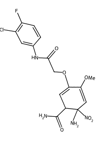 COC1=CC(N)([N+](=O)[O-])C(C(N)=O)C=C1OCC(=O)Nc1ccc(F)c(Cl)c1